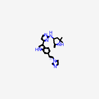 C=C1CC(Nc2nccc(-c3c[nH]c4cc(/C=C/n5ccnc5)ccc34)n2)CC(C)(C)N1